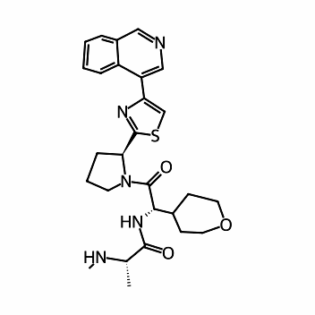 CN[C@@H](C)C(=O)N[C@H](C(=O)N1CCC[C@H]1c1nc(-c2cncc3ccccc23)cs1)C1CCOCC1